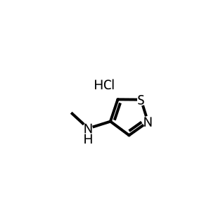 CNc1cnsc1.Cl